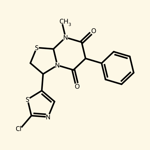 CN1C(=O)C(c2ccccc2)C(=O)N2C(c3cnc(Cl)s3)CSC12